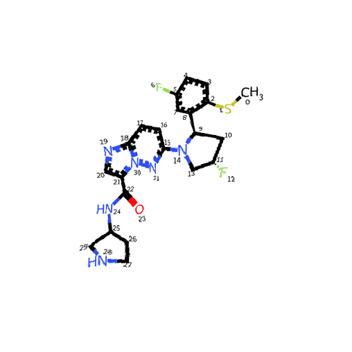 CSc1ccc(F)cc1[C@H]1C[C@H](F)CN1c1ccc2ncc(C(=O)NC3CCNC3)n2n1